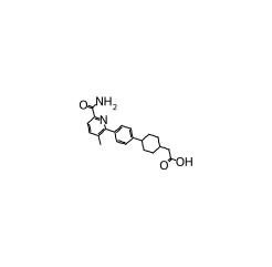 Cc1ccc(C(N)=O)nc1-c1ccc(C2CCC(CC(=O)O)CC2)cc1